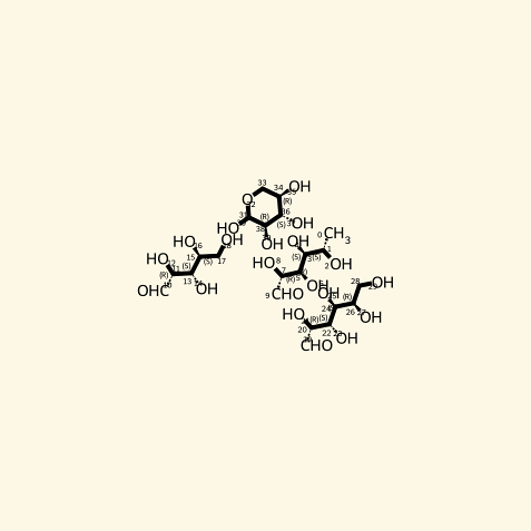 C[C@H](O)[C@H](O)[C@@H](O)[C@@H](O)C=O.O=C[C@H](O)[C@@H](O)[C@@H](O)CO.O=C[C@H](O)[C@@H](O)[C@@H](O)[C@H](O)CO.OC1OC[C@@H](O)[C@H](O)[C@H]1O